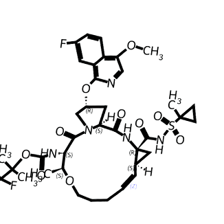 COc1cnc(O[C@@H]2C[C@H]3C(=O)N[C@]4(C(=O)NS(=O)(=O)C5(C)CC5)C[C@H]4/C=C\CCCO[C@@H](C)[C@H](NC(=O)OC(C)(C)C(F)(F)F)C(=O)N3C2)c2cc(F)ccc12